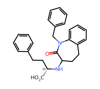 O=C(O)[C@H](CCc1ccccc1)NC1CCc2ccccc2N(Cc2ccccc2)C1=O